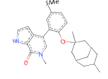 CSc1ccc(OC2(C)CC3CC(C)CC(C3)C2)c(-c2cn(C)c(=O)c3[nH]ccc23)c1